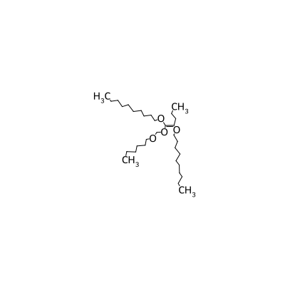 CCCCCCCCCCOC(CCC)=C(OCCCCCCCCCC)OCOCCCCCC